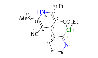 CCCC1=C(C(=O)OCC)C(c2cccnc2Cl)C(C#N)=C(SC)N1